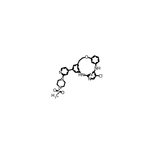 CS(=O)(=O)N1CCN(c2cc(-c3cc4cc(c3)Nc3ncc(Cl)c(n3)Nc3cccc(c3)OCC4)ccn2)CC1